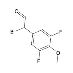 COc1c(F)cc(C(Br)C=O)cc1F